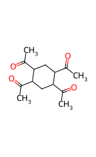 CC(=O)C1CC(C(C)=O)C(C(C)=O)CC1C(C)=O